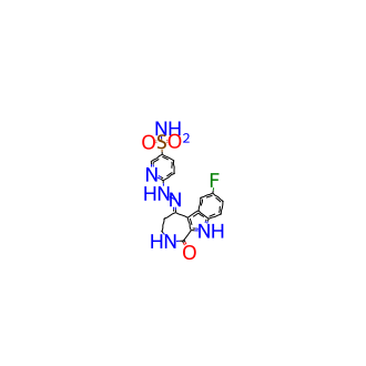 NS(=O)(=O)c1ccc(NN=C2CCNC(=O)c3[nH]c4ccc(F)cc4c32)nc1